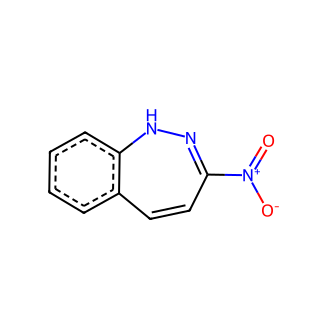 O=[N+]([O-])C1=NNc2ccccc2C=C1